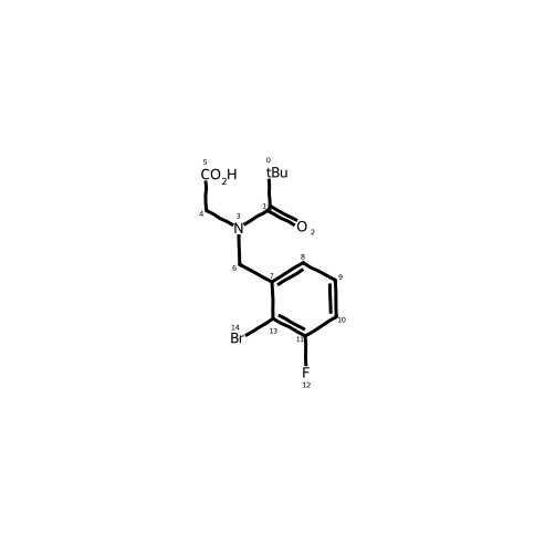 CC(C)(C)C(=O)N(CC(=O)O)Cc1cccc(F)c1Br